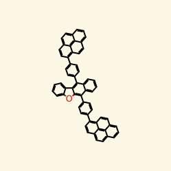 c1cc2ccc3ccc(-c4ccc(-c5c6ccccc6c(-c6ccc(-c7ccc8ccc9cccc%10ccc7c8c9%10)cc6)c6c5oc5ccccc56)cc4)c4ccc(c1)c2c34